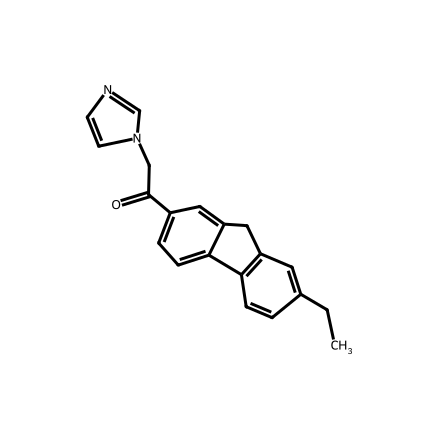 CCc1ccc2c(c1)Cc1cc(C(=O)Cn3ccnc3)ccc1-2